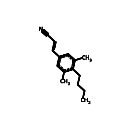 CCCCc1c(C)cc(/C=C/C#N)cc1C